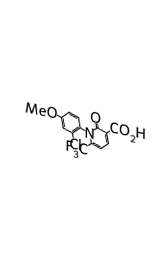 COc1ccc(-n2c(C(F)(F)F)ccc(C(=O)O)c2=O)c(Cl)c1